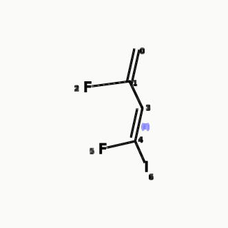 C=C(F)/C=C(\F)I